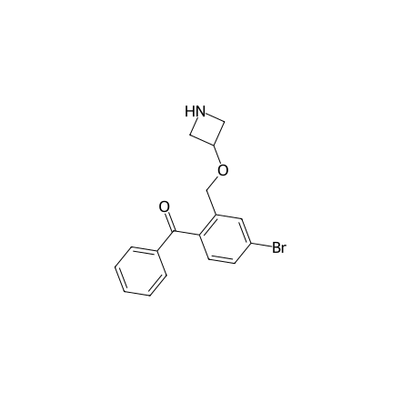 O=C(c1ccccc1)c1ccc(Br)cc1COC1CNC1